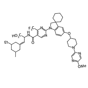 CCC1CC(=CC(NC(=O)c2cnc(N3CC4(CCCCC4)c4cc(OC5CCN(c6cnc(OC)cn6)CC5)ccc43)nc2C(F)(F)F)C(=O)O)CC(C)C1